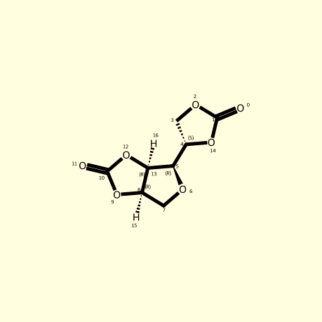 O=C1OC[C@@H]([C@H]2OC[C@H]3OC(=O)O[C@@H]23)O1